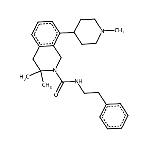 CN1CCC(c2cccc3c2CN(C(=O)NCCc2ccccc2)C(C)(C)C3)CC1